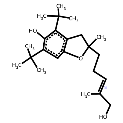 C/C(=C\CCC1(C)Cc2c(cc(C(C)(C)C)c(O)c2C(C)(C)C)O1)CO